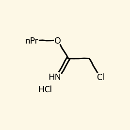 CCCOC(=N)CCl.Cl